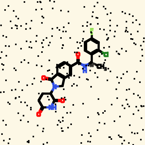 C[C@H](NC(=O)c1ccc2c(c1)CN(C1CCC(=O)NC1=O)C2=O)c1ccc(F)cc1Cl